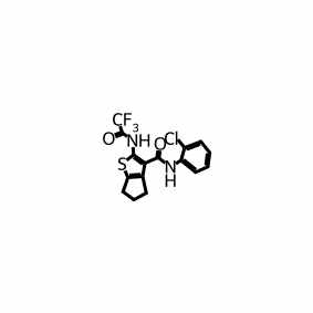 O=C(Nc1ccccc1Cl)c1c(NC(=O)C(F)(F)F)sc2c1CCC2